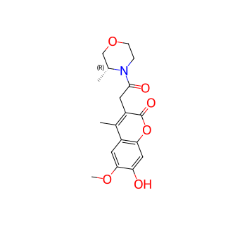 COc1cc2c(C)c(CC(=O)N3CCOC[C@H]3C)c(=O)oc2cc1O